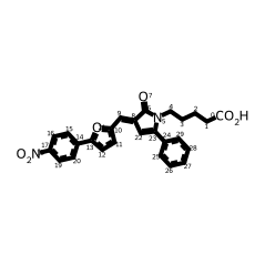 O=C(O)CCCCN1C(=O)C(=Cc2ccc(-c3ccc([N+](=O)[O-])cc3)o2)C=C1c1ccccc1